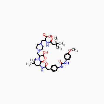 COc1ccc(NC(=O)Nc2ccc(CC(=O)NC(CC(C)C)C(=O)NC(CN3CCN(CC(NC(=O)CC(C)(C)C)C(=O)O)CC3)C(=O)O)cc2)cc1